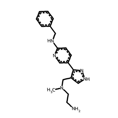 CN(CCN)Cc1c[nH]nc1-c1ccc(NCc2ccccc2)nc1